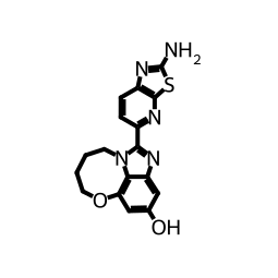 Nc1nc2ccc(-c3nc4cc(O)cc5c4n3CCCCO5)nc2s1